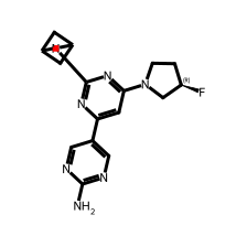 Nc1ncc(-c2cc(N3CC[C@@H](F)C3)nc(N3CC4CC3C4)n2)cn1